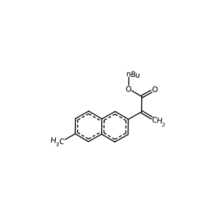 C=C(C(=O)OCCCC)c1ccc2cc(C)ccc2c1